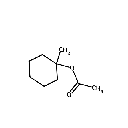 CC(=O)OC1(C)CCCCC1